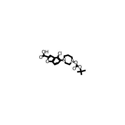 CC(C)(C)OC(=O)ON1CCCN(c2ccc3oc(C(=O)O)cc3c2Cl)CC1